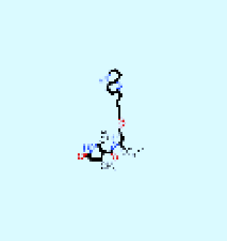 Cc1cc(=O)[nH]c(C)c1C(=O)NC(CCOCCCCc1ccc2c(n1)CCCN2)C(=O)O